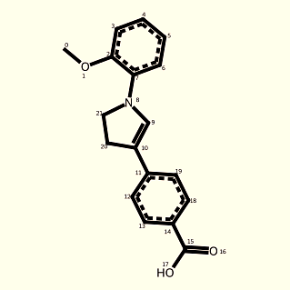 COc1ccccc1N1C=C(c2ccc(C(=O)O)cc2)CC1